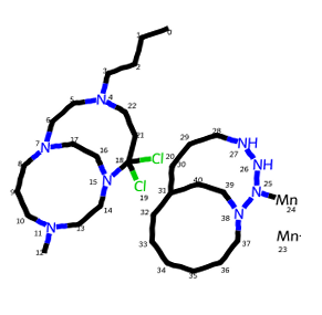 CCCCN1CCN2CCCN(C)CCN(CC2)C(Cl)(Cl)CC1.[Mn].[Mn][N]1NNCCCC2CCCCCCN1CC2